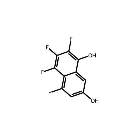 Oc1cc(F)c2c(F)c(F)c(F)c(O)c2c1